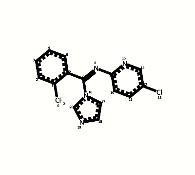 FC(F)(F)c1ccccc1C(=Nc1ccc(Cl)cn1)n1ccnc1